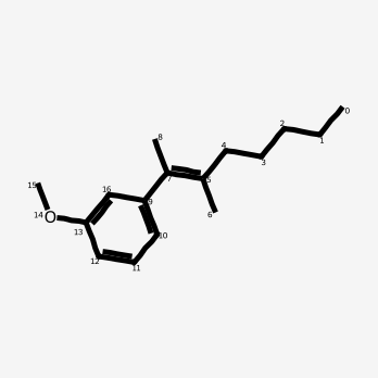 CCCCC/C(C)=C(\C)c1cccc(OC)c1